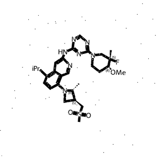 CO[C@@H]1CCN(c2ncnc(Nc3cc4c(C(C)C)ccc(N5C[C@H](CS(C)(=O)=O)[C@H]5C)c4cn3)n2)C[C@]1(C)F